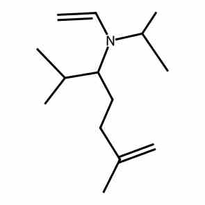 C=CN(C(C)C)C(CCC(=C)C)C(C)C